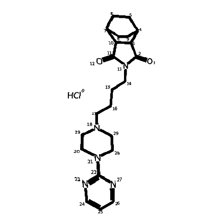 Cl.O=C1C2C3CCC(CC3)C2C(=O)N1CCCCN1CCN(c2ncccn2)CC1